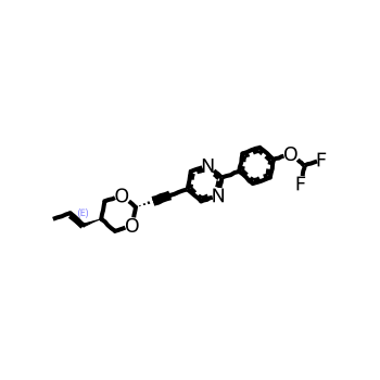 C/C=C/[C@H]1CO[C@H](C#Cc2cnc(-c3ccc(OC(F)F)cc3)nc2)OC1